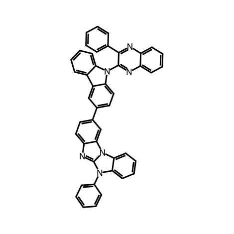 c1ccc(-c2nc3ccccc3nc2-n2c3ccccc3c3cc(-c4ccc5nc6n(-c7ccccc7)c7ccccc7n6c5c4)ccc32)cc1